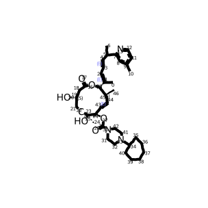 C/C(=C\C=C\C(C)c1cc(C)ccn1)[C@H]1OC(=O)C[C@@H](O)CC[C@](C)(O)[C@H](OC(=O)N2CCN(C3CCCCCC3)CC2)/C=C/[C@@H]1C